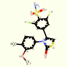 Cc1ccc(-n2c(-c3cc(F)c(S(N)(=O)=O)c(F)c3)csc2=O)cc1OC(F)(F)F